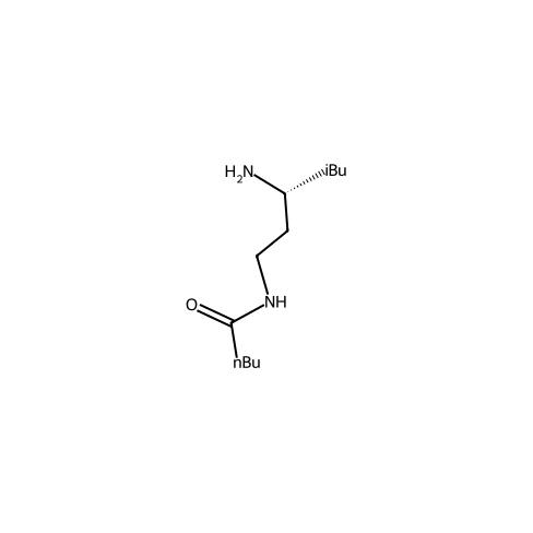 CCCCC(=O)NCC[C@H](N)C(C)CC